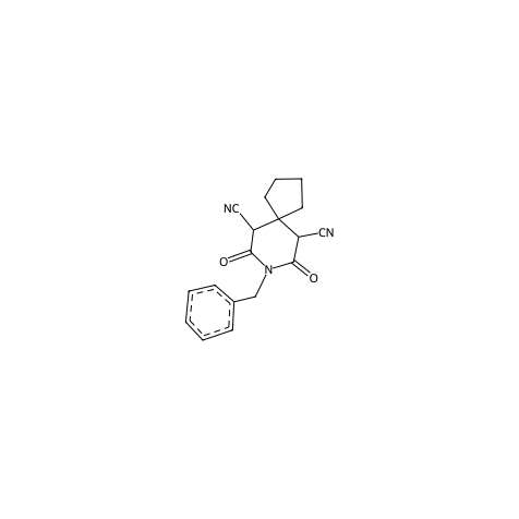 N#CC1C(=O)N(Cc2ccccc2)C(=O)C(C#N)C12CCCC2